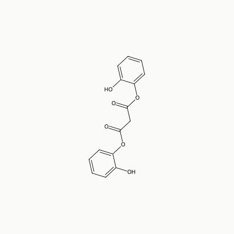 O=C(CC(=O)Oc1ccccc1O)Oc1ccccc1O